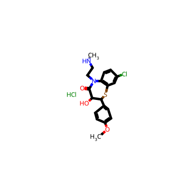 CNCCN1C(=O)C(O)C(c2ccc(OC)cc2)Sc2cc(Cl)ccc21.Cl